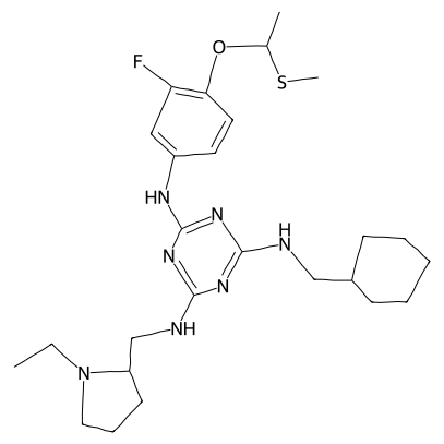 CCN1CCCC1CNc1nc(NCC2CCCCC2)nc(Nc2ccc(OC(C)SC)c(F)c2)n1